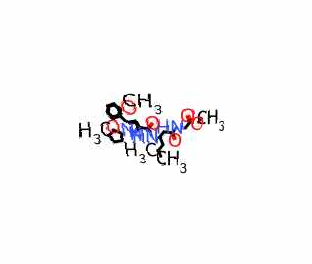 COC(=O)CNC(=O)CC(CC(C)C)NC(=O)c1cc(-c2c(OC)cccc2OC)n(C2CCCC2)n1